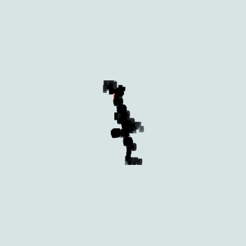 CCC(C(F)F)C1CC1C1=C(CN2CCN(c3ccc(C(=O)NS(=O)(=O)c4ccc(NC(CCN5CCN(C(=O)CCCCCNC)CC5)CSc5ccccc5)c(S(=O)(=O)C(F)(F)F)c4)cc3)CC2)CCC(C)(C)C1